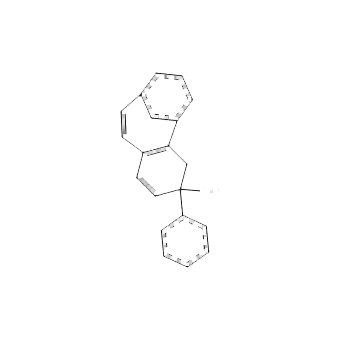 OC1(c2ccccc2)C=CC2=C(C1)c1cccc(c1)C=C2